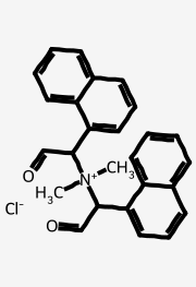 C[N+](C)(C(C=O)c1cccc2ccccc12)C(C=O)c1cccc2ccccc12.[Cl-]